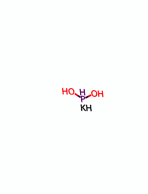 OPO.[KH]